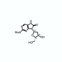 CNc1ncc2[nH]c(=O)n([C@H]3C[C@@H](O)[C@H](CO)O3)c2n1